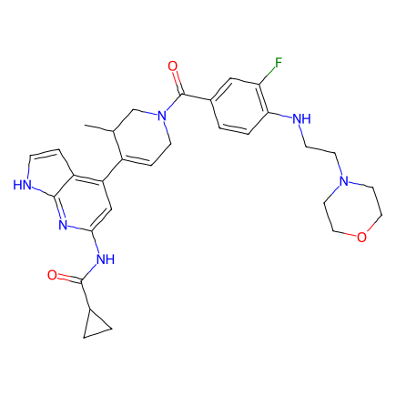 CC1CN(C(=O)c2ccc(NCCN3CCOCC3)c(F)c2)CC=C1c1cc(NC(=O)C2CC2)nc2[nH]ccc12